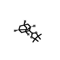 CC1(C)OB(C2[C@H]3C[C@@H]4C[C@@H](C[C@H]2C4)C3)OC1(C)C